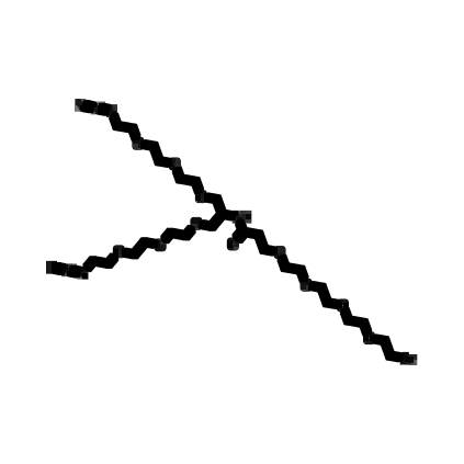 CC(=O)CCOCCOCCOCCOCCC(=O)NC(COCCOCCOCCN=[N+]=[N-])COCCOCCOCCN=[N+]=[N-]